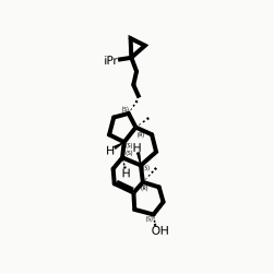 CC(C)C1(CCC[C@H]2CC[C@H]3[C@@H]4CC=C5C[C@@H](O)CC[C@]5(C)[C@H]4CC[C@]23C)CC1